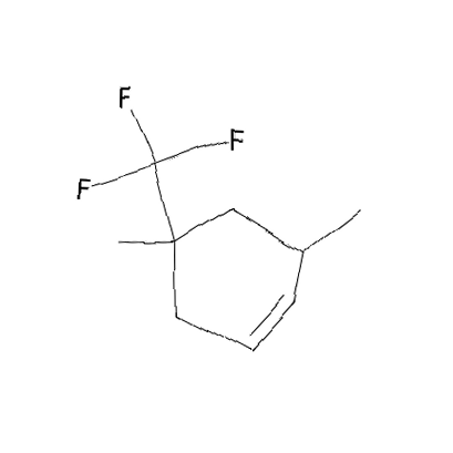 CC1C=CCC(C)(C(F)(F)F)C1